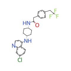 O=C(Cc1ccc(CC(F)(F)F)cc1)N[C@H]1CC[C@@H](Nc2ccnc3cc(Cl)ccc23)CC1